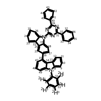 [2H]c1c([2H])c([2H])c(-n2c3ccccc3c3c(-c4ccc5c(c4)c4ccccc4n5-c4nc(-c5ccccc5)nc(-c5ccccc5)n4)cccc32)c([2H])c1[2H]